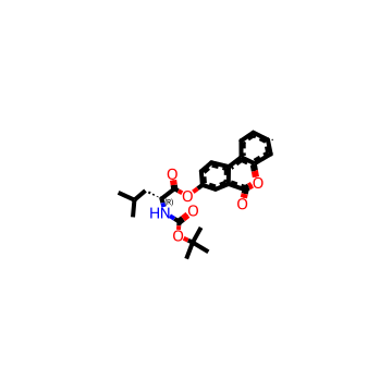 CC(C)C[C@@H](NC(=O)OC(C)(C)C)C(=O)Oc1ccc2c(c1)c(=O)oc1c[c]ccc12